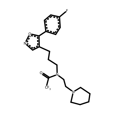 O=C(N(CCCc1cnoc1-c1ccc(F)cc1)CCN1CCCCC1)C(F)(F)F